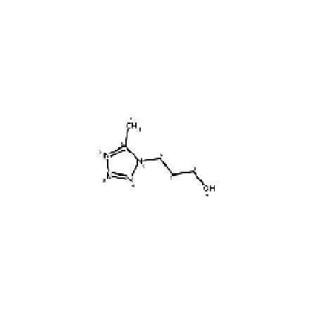 Cc1nnnn1CCCO